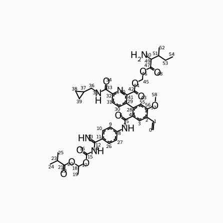 C=Cc1cc(C(=O)Nc2ccc(C(=N)NC(=O)OC(C)OC(=O)C(C)C)cc2)c(-c2ccc(C(=O)NCC3CC3)nc2C(=O)OCOC(=O)C(N)C(C)CC)cc1OC